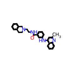 Cc1cc(Nc2cccc(C(=O)NCCN3CCc4ccccc4C3)c2)c2ccccc2n1